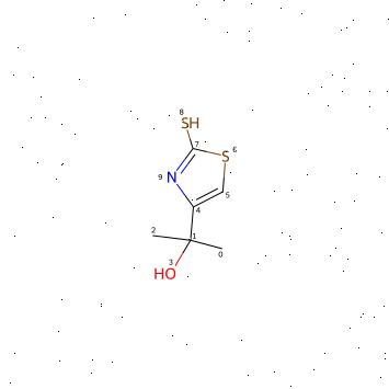 CC(C)(O)c1csc(S)n1